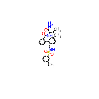 Cc1cccc(S(=O)(=O)NCc2ccccc2-c2ccccc2C(=O)N[C@H](C(N)=O)C(C)C)c1